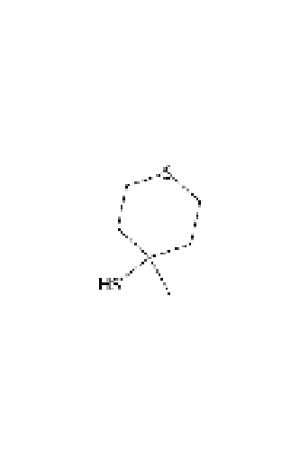 CC1(S)CCSCC1